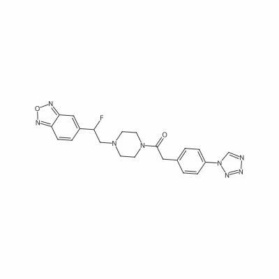 O=C(Cc1ccc(-n2cnnn2)cc1)N1CCN(CC(F)c2ccc3nonc3c2)CC1